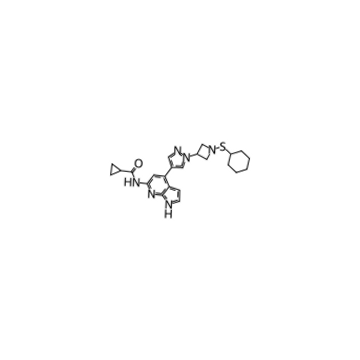 O=C(Nc1cc(-c2cnn(C3CN(SC4CCCCC4)C3)c2)c2cc[nH]c2n1)C1CC1